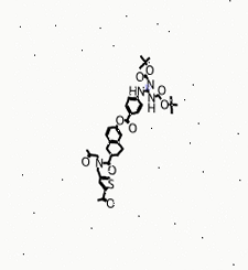 CC(=O)CN(Cc1csc(C(C)=O)c1)C(=O)C1CCc2cc(OC(=O)c3ccc(N/C(=N\C(=O)OC(C)(C)C)NC(=O)OC(C)(C)C)cc3)ccc2C1